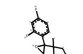 CC(C)(CO)C1(c2ccc(F)cc2F)CO1